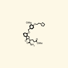 COC(=O)CCC(C(N)=O)N1Cc2c(OCc3ccc(OCCN4CCCC4)c(OC)c3)cccc2C1=O